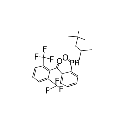 CC(C[PH](=O)c1ccccc1C(=O)c1c(C(F)(F)F)cccc1C(F)(F)F)CC(C)(C)C